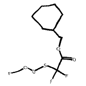 O=C(OCC1CCCCC1)C(F)(F)SOOF